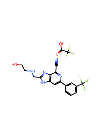 N#Cc1nc(-c2cccc(C(F)(F)F)c2)cc2[nH]c(CNCCO)nc12.O=C(O)C(F)(F)F